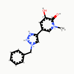 Cn1cc(-c2cn(Cc3ccccc3)nn2)cc(O)c1=O